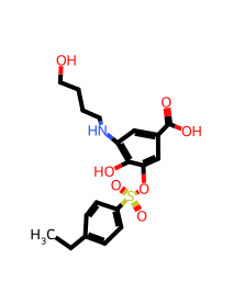 CCc1ccc(S(=O)(=O)Oc2cc(C(=O)O)cc(NCCCCO)c2O)cc1